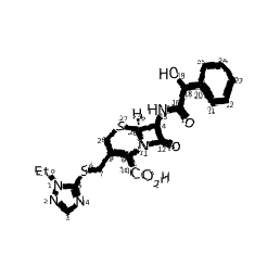 CCn1ncnc1SCC1=C(C(=O)O)N2C(=O)C(NC(=O)C(O)c3ccccc3)[C@@H]2SC1